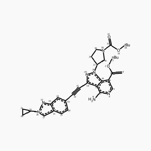 C=C(OCCCC)c1cnc(N)c2c(C#Cc3ccc4cn(C5CC5)nc4c3)nn(C3CCN(C(=O)OC(C)(C)C)C3)c12